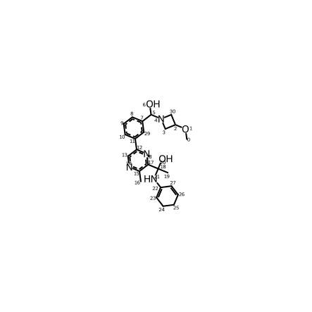 COC1CN(C(O)c2cccc(-c3cnc(C)c(C(C)(O)NC4=CCCC=C4)n3)c2)C1